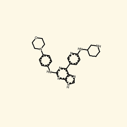 c1nc2c(-c3ccc(NC4CCCNC4)nc3)nc(Nc3ccc(N4CCOCC4)cc3)nc2[nH]1